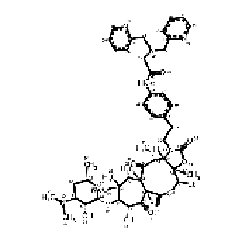 CC[C@H]1OC(=O)[C@]2(F)C(=O)[C@H](C)[C@@H](O[C@H]3O[C@H](C)C[C@H](N(C)C)[C@H]3O)[C@@](C)(OC)C[C@]2(C)C(=O)[C@H](C)[C@@H]2N(CCc3ccc(NC(=O)CN(Cc4ccccn4)Cc4ccccn4)cc3)C(=O)O[C@@]21C